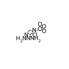 COc1cc(C/N=C2/C=CC3=NC(N)N=C(N)C3=C2Cl)cc(OC)c1OC